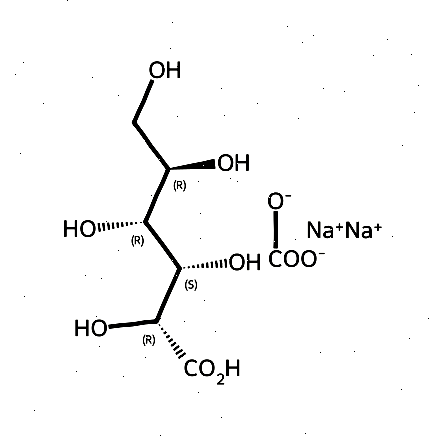 O=C(O)[C@H](O)[C@@H](O)[C@H](O)[C@H](O)CO.O=C([O-])[O-].[Na+].[Na+]